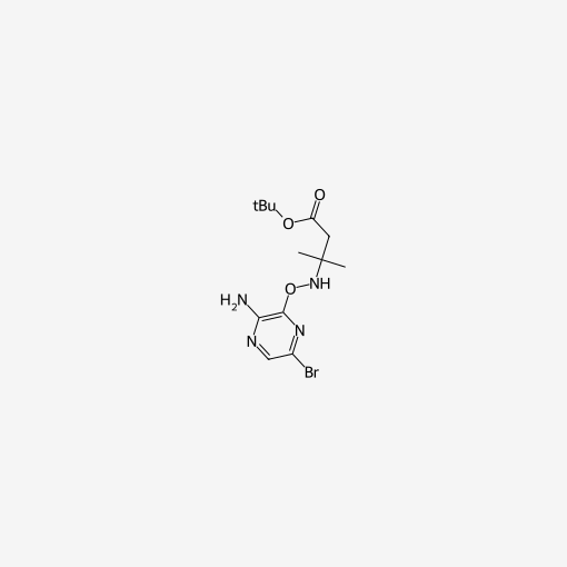 CC(C)(CC(=O)OC(C)(C)C)NOc1nc(Br)cnc1N